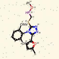 COc1cccc(OC)c1-n1c(SCPOC(C)C)nnc1-c1ccc(C)o1